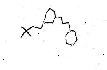 CC(C)(C)CCN1CCCC(CCCN2CCOCC2)C1